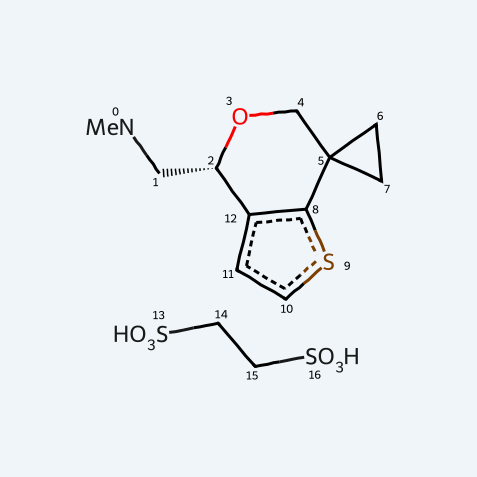 CNC[C@@H]1OCC2(CC2)c2sccc21.O=S(=O)(O)CCS(=O)(=O)O